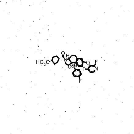 O=C(O)[C@H]1CC[C@H](C(=O)N2CC[C@@]3(S(=O)(=O)c4ccc(F)cc4)c4ccc(Oc5c(F)ccnc5F)cc4CC[C@@H]23)CC1